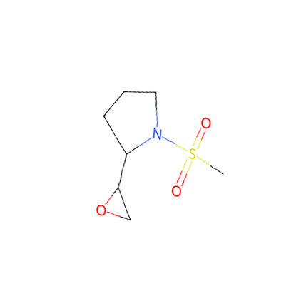 CS(=O)(=O)N1CCCC1C1CO1